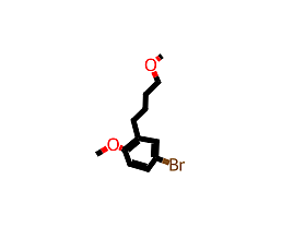 COCCCCc1cc(Br)ccc1OC